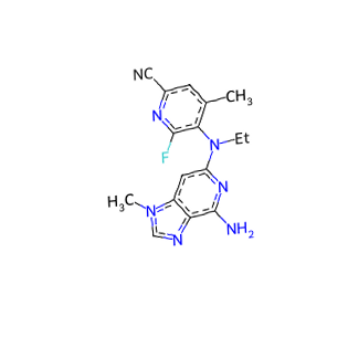 CCN(c1cc2c(ncn2C)c(N)n1)c1c(C)cc(C#N)nc1F